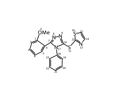 COc1ccccc1-c1nnc(Sc2nccs2)n1-c1ccccc1